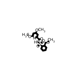 COC(=O)c1ccccc1S(=O)(=O)NC(=O)c1cc(OC)cc(OC)n1